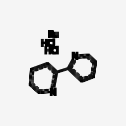 Cl.Cl.[Ru].c1ccc(-c2ccccn2)nc1